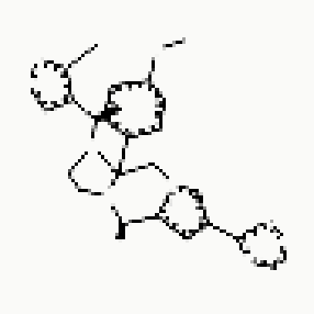 COc1ccc(C23Cn4cc(-c5nnn[nH]5)cc4C(=O)N2CCN3C(=O)c2conc2C)cc1